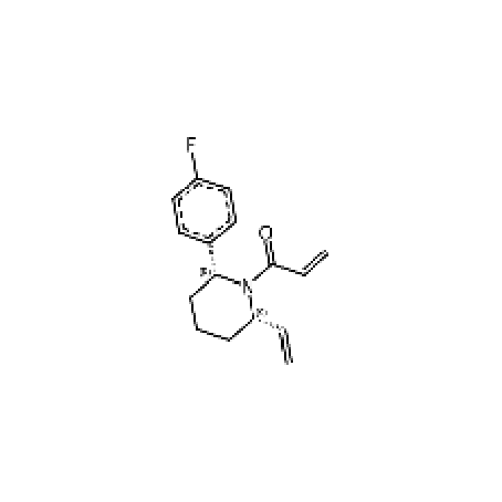 C=CC(=O)N1[C@H](C=C)CCC[C@@H]1c1ccc(F)cc1